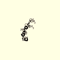 CN(C)CCCN(C)c1ccc(NC(=O)Cc2ccc(-n3cnc4cccnc43)cc2Cl)cc1C(F)(F)F